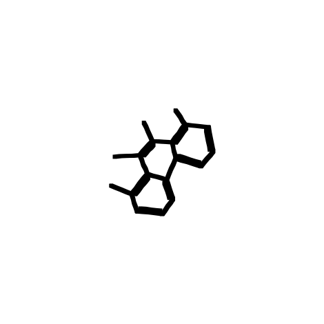 Cc1cccc2c1c(C)c(C)c1c(C)cccc12